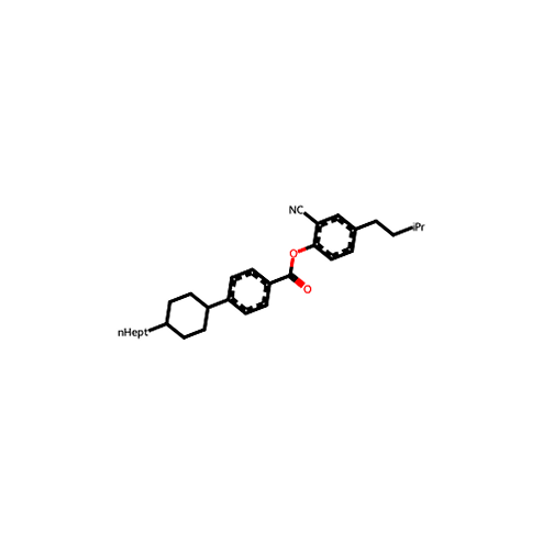 CCCCCCCC1CCC(c2ccc(C(=O)Oc3ccc(CCC(C)C)cc3C#N)cc2)CC1